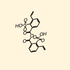 C=Cc1cccc(C(=O)OC(=O)c2cccc(C=C)c2S(=O)(=O)O)c1S(=O)(=O)O